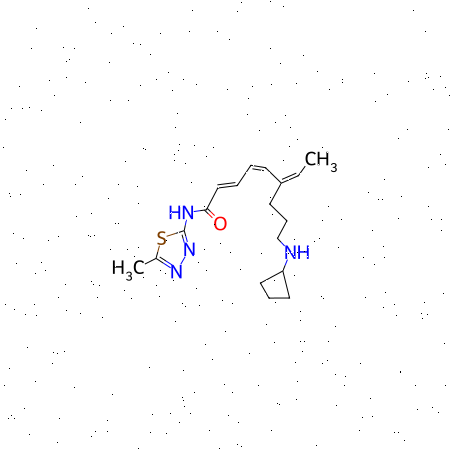 C\C=C(/C=C\C=C\C(=O)Nc1nnc(C)s1)CCCNC1CCC1